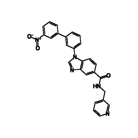 O=C(NCc1cccnc1)c1ccc2c(c1)ncn2-c1cccc(-c2cccc([N+](=O)[O-])c2)c1